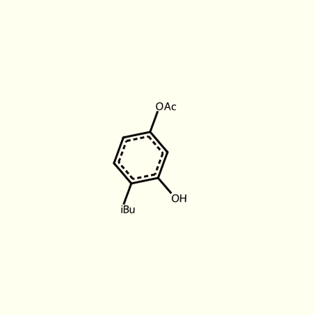 CCC(C)c1ccc(OC(C)=O)cc1O